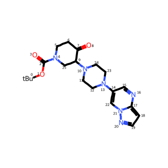 CC(C)(C)OC(=O)N1CCC(=O)C(N2CCN(c3cnc4ccnn4c3)CC2)C1